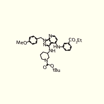 CCOC(=O)c1cccc(Nc2ccnc3c2c(NC2CCCN(C(=O)OC(C)(C)C)C2)nn3Cc2ccc(OC)cc2)c1